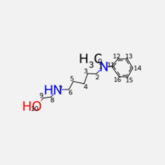 CN(CCCCCNCCO)c1ccccc1